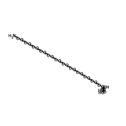 NCCOCCOCCOCCOCCOCCOCCOCCOCCOCCOCCOCCOCCOCCOCCOCCOCCOCCOCCOCCOCCOCCOCCOCCOP(=O)(O)OP(=O)(O)O